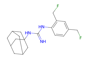 N=C(Nc1ccc(CF)cc1CF)NC12CC3CC(CC(C3)C1)C2